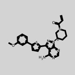 C=CC(=O)N1CCC[C@@H](n2nc(-c3ccc(-c4cccc(OC)c4)s3)c3c(N)ncnc32)C1